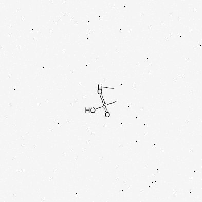 CS(=O)(=O)O.[Li][CH3]